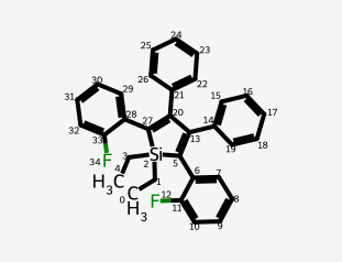 CC[Si]1(CC)C(c2ccccc2F)=C(c2ccccc2)C(c2ccccc2)=C1c1ccccc1F